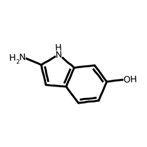 Nc1cc2ccc(O)cc2[nH]1